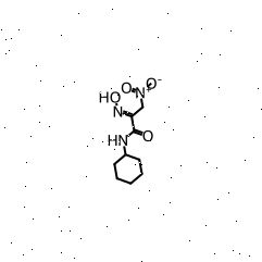 O=C(NC1CCCCC1)C(C[N+](=O)[O-])=NO